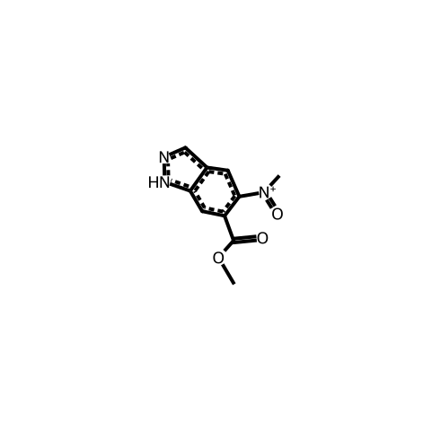 COC(=O)c1cc2[nH]ncc2cc1[N+](C)=O